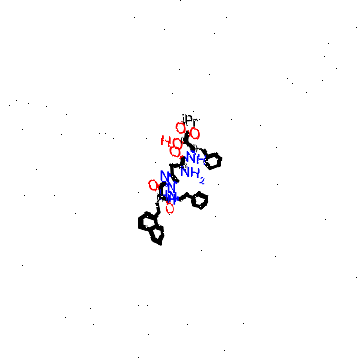 CC(C)OC(=O)[C@@H](O)[C@H](CC1CCCCC1)NC(=O)[C@@H](N)Cc1c[nH]c(C(=O)[C@@H](CCc2cccc3ccccc23)C(=O)NCCc2ccccc2)n1